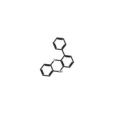 c1ccc(-c2cccc3c2Sc2ccccc2N3)cc1